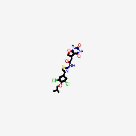 CC(C)COc1c(Cl)cc(-c2csc(NC(=O)Cc3coc4c3c(=O)n(C)c(=O)n4C)n2)cc1Cl